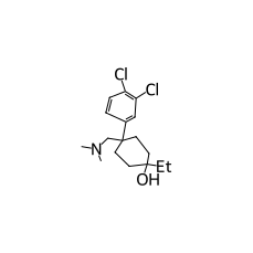 CCC1(O)CCC(CN(C)C)(c2ccc(Cl)c(Cl)c2)CC1